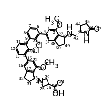 COc1cc(-c2cccc(-c3cccc(-c4cc5c(c(OC)c4)[C@H](N4CC(C(=O)O)C4)CC5)c3Cl)c2Cl)cc2c1[C@@H](NC[C@@H]1CCC(=O)N1)CC2